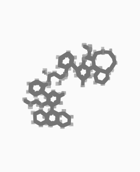 C=C1CCCCC/C=C2/CCCC/C2=C/1c1cc(C)cc(-c2ccccc2O[C@H](C)C[C@@H](C)Oc2ccccc2-c2cc(C)cc(-c3c4c(cc5c3CCCC5)CCCC4)c2OCOC)c1OCOC